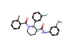 Cc1ccccc1C(=O)N1CCC[C@H](C(=O)Nc2cccc(C(C)(C)C)c2)[C@@H]1c1cccc(F)c1